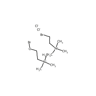 C[N+](C)(C)CCBr.C[N+](C)(C)CCOBr.[Cl-].[Cl-]